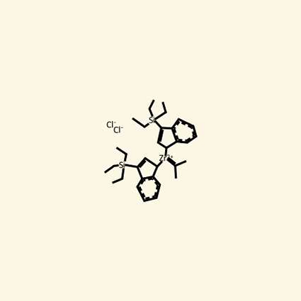 CC[Si](CC)(CC)C1=C[CH]([Zr+2](=[C](C)C)[CH]2C=C([Si](CC)(CC)CC)c3ccccc32)c2ccccc21.[Cl-].[Cl-]